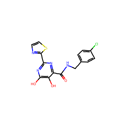 O=C(NCc1ccc(Cl)cc1)c1nc(-c2nccs2)nc(O)c1O